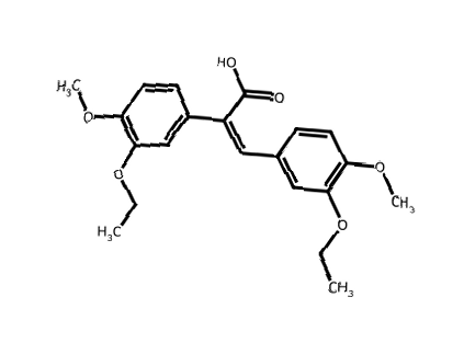 CCOc1cc(C=C(C(=O)O)c2ccc(OC)c(OCC)c2)ccc1OC